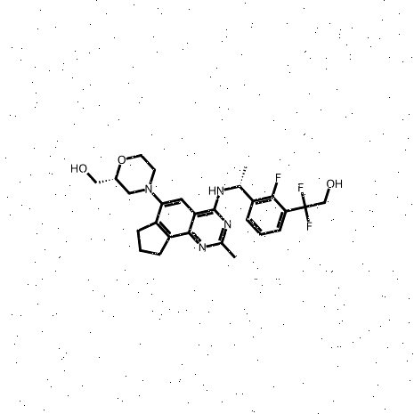 Cc1nc(N[C@H](C)c2cccc(C(F)(F)CO)c2F)c2cc(N3CCO[C@@H](CO)C3)c3c(c2n1)CCC3